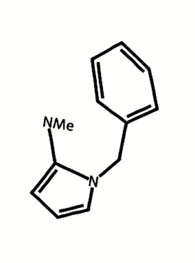 CNc1cccn1Cc1ccccc1